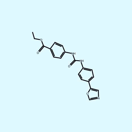 CCOC(=O)c1ccc(NC(=O)Nc2ccc(-c3cnco3)cc2)cc1